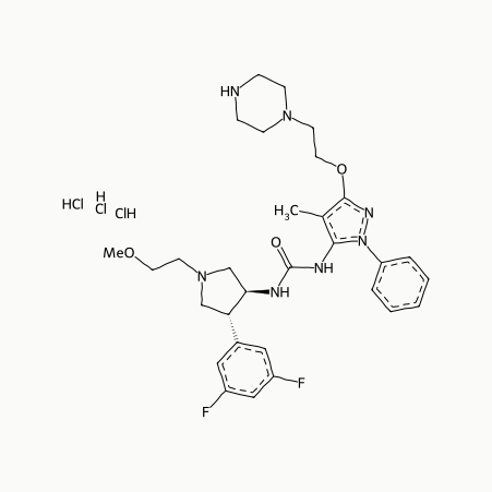 COCCN1C[C@@H](NC(=O)Nc2c(C)c(OCCN3CCNCC3)nn2-c2ccccc2)[C@H](c2cc(F)cc(F)c2)C1.Cl.Cl.Cl